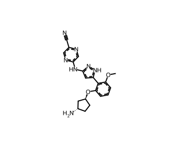 COc1cccc(O[C@H]2CC[C@H](N)C2)c1-c1cc(Nc2cnc(C#N)cn2)n[nH]1